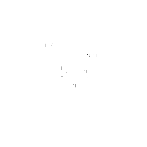 CCOc1ccc(C(=O)N(C)CCN(C)C(=O)c2cn(-c3ccccc3)nc2C(F)(F)F)cc1